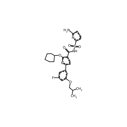 CC(C)COc1cc(F)cc(-c2ccc(C(=O)NS(=O)(=O)c3cccc(N)n3)c(OC3CCCCC3)n2)c1